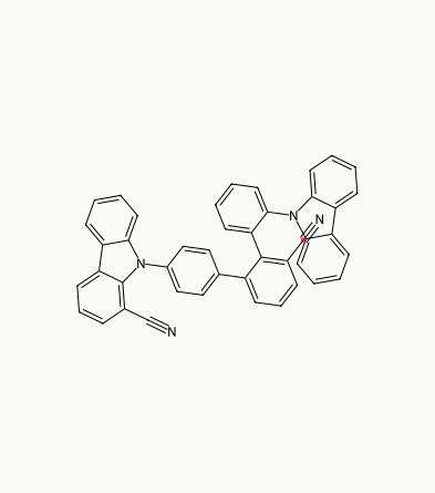 N#Cc1cccc(-c2ccc(-n3c4ccccc4c4cccc(C#N)c43)cc2)c1-c1ccccc1-n1c2ccccc2c2ccccc21